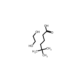 CC(C)(C)CCCC(=O)O.OCCO